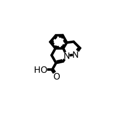 O=C(O)C1=CN2N=CCc3cccc(c32)C1